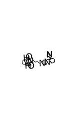 C=NSc1ccccc1N1CCN(CCCCN2C(=O)[C@H]3CCCC[C@H]3C2=O)CC1